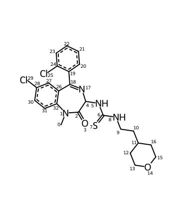 CN1C(=O)C(NC(=S)NCCC2CCOCC2)N=C(c2ccccc2Cl)c2cc(Cl)ccc21